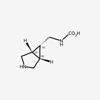 O=C(O)NC[C@@H]1[C@@H]2CNC[C@@H]21